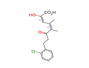 CC(/C=C(/O)C(=O)O)=C(\C)C(=O)CCc1ccccc1Cl